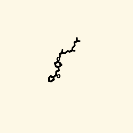 CC(C)=CCCC(C)=CCCC(C)=CCOc1ccc(C=CC(=O)c2ccccc2)cc1